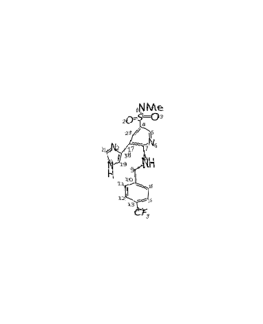 CNS(=O)(=O)c1cnc(NCc2ccc(C(F)(F)F)cc2)c(-c2c[nH]cn2)c1